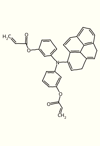 C=CC(=O)Oc1cccc(N(C2=CCC3=CCc4cccc5ccc2c3c45)c2cccc(OC(=O)C=C)c2)c1